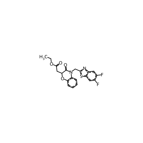 CCOC(=O)CC1Oc2ccccc2N(Cc2nc3cc(F)c(F)cc3s2)C1=O